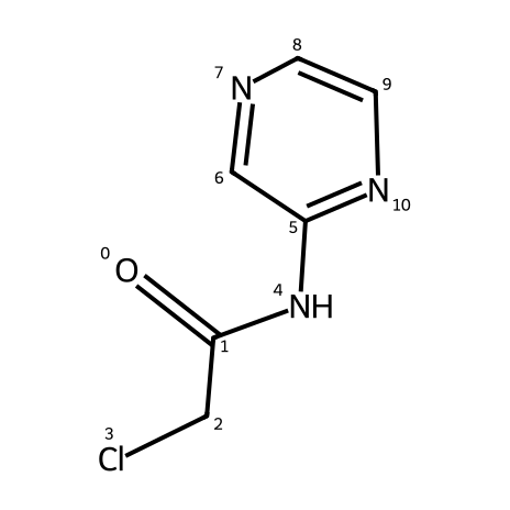 O=C(CCl)Nc1cnccn1